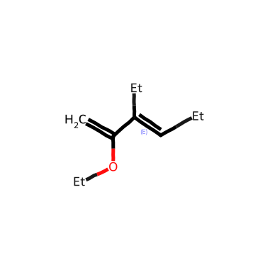 C=C(OCC)/C(=C/CC)CC